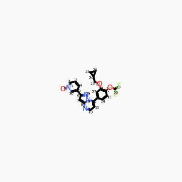 [O-][n+]1cccc(-c2cc3nccc(-c4ccc(OC(F)F)c(OCC5CC5)c4)n3n2)c1